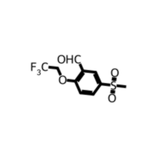 CS(=O)(=O)c1ccc(OCC(F)(F)F)c(C=O)c1